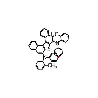 Cc1ccccc1N(c1ccccc1)c1cc2ccccc2c2c1sc1c(N(c3ccccc3)c3ccccc3C)cc3ccccc3c12